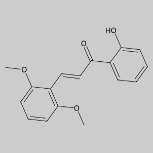 COc1cccc(OC)c1C=CC(=O)c1ccccc1O